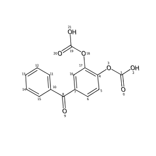 O=C(O)Oc1ccc(C(=O)c2ccccc2)cc1OC(=O)O